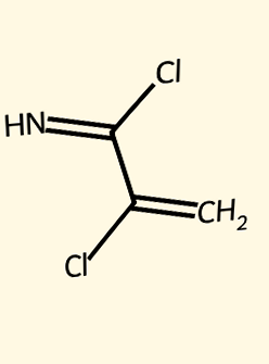 C=C(Cl)C(=N)Cl